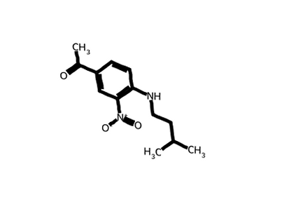 CC(=O)c1ccc(NCCC(C)C)c([N+](=O)[O-])c1